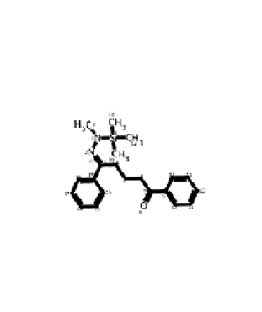 CN(/N=C(\CCCC(=O)c1ccccc1)c1ccccc1)[Si](C)(C)C